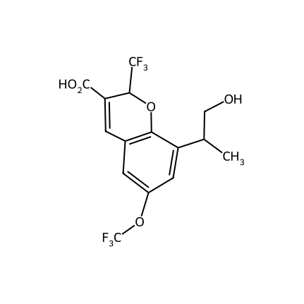 CC(CO)c1cc(OC(F)(F)F)cc2c1OC(C(F)(F)F)C(C(=O)O)=C2